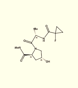 CNC(=O)[C@@H]1C[C@@H](O)CN1C(=O)[C@@H](NC(=O)C1(F)CC1)C(C)(C)C